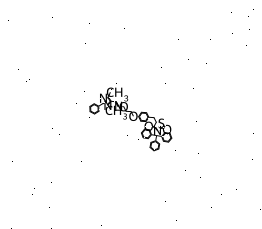 Cc1nc(-c2ccccc2)n(C)c1C=NOCCOc1ccc(CC2SC(=O)N(C(c3ccccc3)(c3ccccc3)c3ccccc3)C2=O)cc1